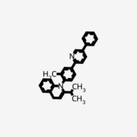 Cc1cc(-c2ccc(-c3ccccc3)cn2)ccc1N1C(C(C)C)=CCc2ccccc21